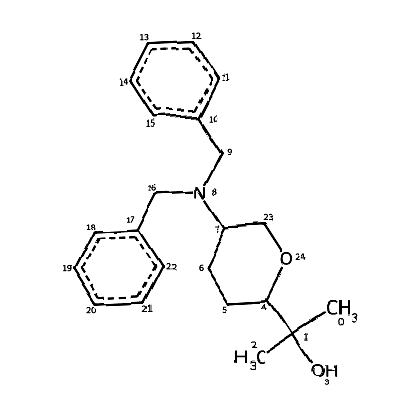 CC(C)(O)C1CCC(N(Cc2ccccc2)Cc2ccccc2)CO1